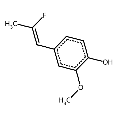 COc1cc(C=C(C)F)ccc1O